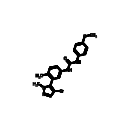 COc1ccc(NC(=O)Nc2ccc(C)c(-c3c(Br)cnn3C)c2)cc1